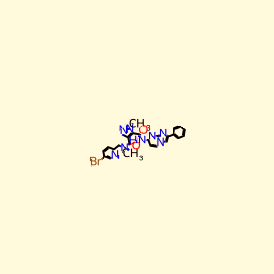 CN(Cc1ccc(Br)cn1)C(=O)c1cnn(C)c1C(=O)Nc1ccn2cc(-c3ccccc3)nc2n1